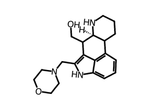 OCC1c2c(CN3CCOCC3)[nH]c3cccc(c23)C2CCCN[C@@H]21